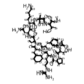 CC[C@](C)(NC(=O)[C@H](CC1CCCCC1)NC(=O)[C@H](Cc1ccncc1)NC(=O)[C@H](CCCNC(=N)N)NC(=O)[C@H]1CCCN1C(=O)[C@H](CO)NC(C)=O)C(=O)N[C@@H](CC(N)=O)C(=O)N[C@@H](CCCCN)C(=O)NC(C)(C)C(=O)N[C@H](C(=O)NC)[C@@H](C)O